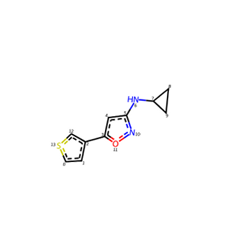 c1cc(-c2cc(NC3CC3)no2)cs1